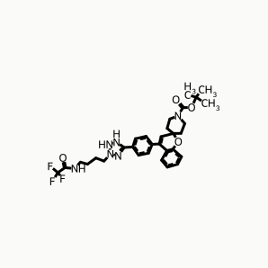 CC(C)(C)OC(=O)N1CCC2(C=C(c3ccc(C4=NN(CCCCNC(=O)C(F)(F)F)NN4)cc3)c3ccccc3O2)CC1